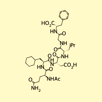 CC(=O)N[C@@H](CCC(N)=O)C(=O)N[C@@H](CC1CCCCC1)C(=O)N[C@@H](CC(=O)O)C(=O)N[C@@H](CC(C)C)C(=O)NCC(=O)N[C@@H](Cc1ccccc1)C(=O)O